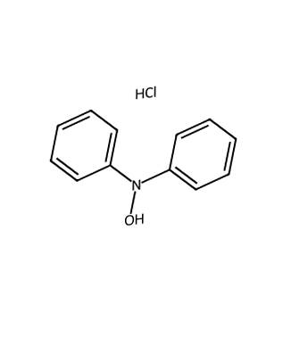 Cl.ON(c1ccccc1)c1ccccc1